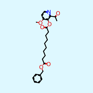 COc1ccnc(C(C)=O)c1OC(=O)CCCCCCCCC(=O)OCc1ccccc1